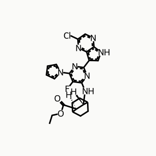 CCOC(=O)[C@@H]1C2CCC(CC2)[C@H]1Nc1nc(-c2c[nH]c3ncc(Cl)nc23)nc(-n2cccc2)c1F